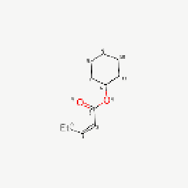 CC/C=C\C(=O)OC1CCCCC1